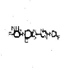 Nc1cc(N2CCc3nc(-c4cnc(N5CCC(F)C5)cn4)sc3C3OC32)ccc1F